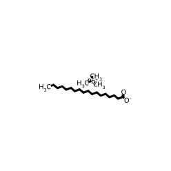 CCCCCCCCCCCCCCCCCC(=O)[O-].[CH3][Pb+]([CH3])[CH3]